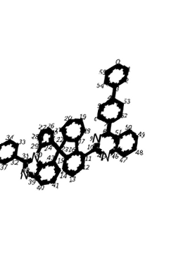 c1ccc(-c2ccc(-c3nc(-c4cccc5c4-c4ccccc4C54c5ccccc5-n5c(-c6ccccc6)nc6cccc4c65)nc4ccccc34)cc2)cc1